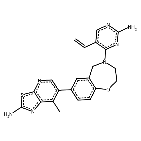 C=Cc1cnc(N)nc1N1CCOc2ccc(-c3cnc4sc(N)nc4c3C)cc2C1